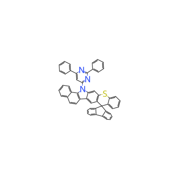 c1ccc(-c2cc(-n3c4cc5c(cc4c4ccc6ccccc6c43)C3(c4ccccc4S5)c4ccccc4-c4ccccc43)nc(-c3ccccc3)n2)cc1